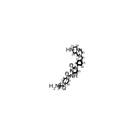 CC(C)(N)C(=O)N1CCN(C(=O)Nc2ccn(-c3ccc(CN4CCN5CCNCC5C4)cc3)c(=O)n2)CC1